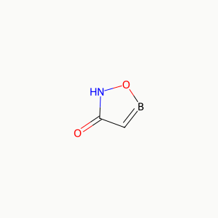 O=c1cbo[nH]1